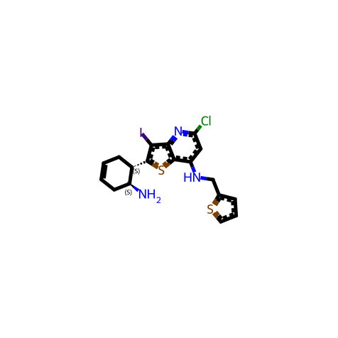 N[C@H]1CC=CC[C@@H]1c1sc2c(NCc3cccs3)cc(Cl)nc2c1I